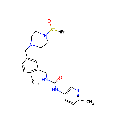 Cc1ccc(NC(=O)NCc2cc(CN3CCN([S+]([O-])C(C)C)CC3)ccc2C)cn1